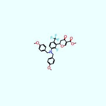 COC(=O)C1=COC(c2c(C(F)(F)F)ccc(N(Cc3ccc(OC)cc3)Cc3ccc(OC)cc3)c2F)CC1=O